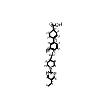 CCc1cnc(N2CCC(COc3ccc(C4=CCC(C(=O)O)CC4)cc3F)CC2)nc1